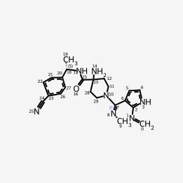 C=Nc1[nH]ccc1/C(=N\C)N1CCC(N)(C(=O)N[C@@H](C)c2ccc(C#N)cc2)CC1